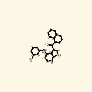 O=C(c1cccc2ccccc12)c1c[nH]c2ncnc(Nc3cccc(Br)c3)c12